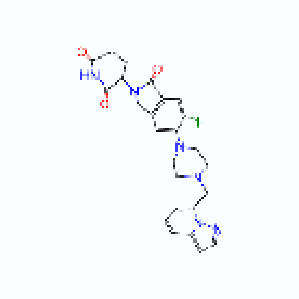 O=C1CCC(N2Cc3cc(N4CCN(Cc5cccc6ccnn56)CC4)c(F)cc3C2=O)C(=O)N1